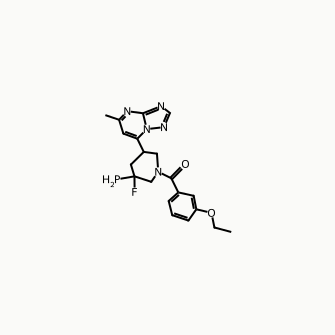 CCOc1cccc(C(=O)N2CC(c3cc(C)nc4ncnn34)CC(F)(P)C2)c1